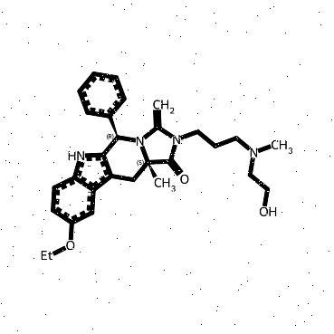 C=C1N(CCCN(C)CCO)C(=O)[C@]2(C)Cc3c([nH]c4ccc(OCC)cc34)[C@@H](c3ccccc3)N12